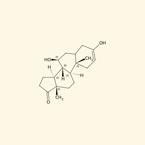 C[C@]12CC=C(O)CC1C[C@H](O)[C@@H]1[C@@H]2CC[C@]2(C)C(=O)CC[C@@H]12